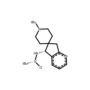 CC(C)(C)N1CCC2(CC1)Cc1ncccc1[C@@H]2N[S@+]([O-])C(C)(C)C